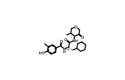 Cc1cc(C(=O)N[C@@H](CC2CCCCC2)C(=O)NC2C(=O)COCC2C)ccc1O